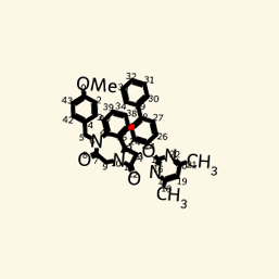 COc1ccc(CN2C(=O)CN3C(=O)[C@@H](Oc4nc(C)cc(C)n4)[C@]3(c3cccc(-c4ccccc4)c3)c3ccccc32)cc1